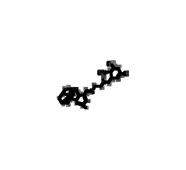 CC1=CC(C23CC4CC(CC(C4)C2)C3)C(N=O)C(/C=N/CCNCC2C=C(Cl)C=C(Cl)C2N=O)=C1